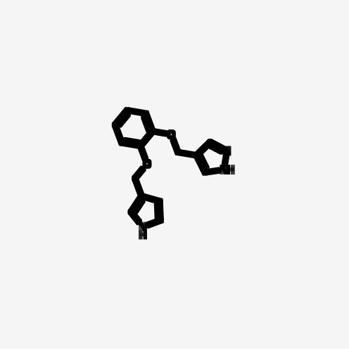 c1ccc(OCc2cn[nH]c2)c(OCc2cc[nH]c2)c1